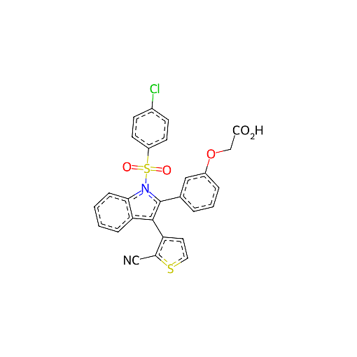 N#Cc1sccc1-c1c(-c2cccc(OCC(=O)O)c2)n(S(=O)(=O)c2ccc(Cl)cc2)c2ccccc12